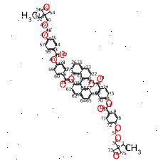 CCC1(COCOc2ccc(C(=O)Oc3ccc(C(=O)Oc4ccc5ccccc5c4-c4c(OC(=O)c5ccc(OC(=O)c6ccc(OCOCC7(CC)COC7)cc6)cc5)ccc5ccccc45)cc3)cc2)COC1